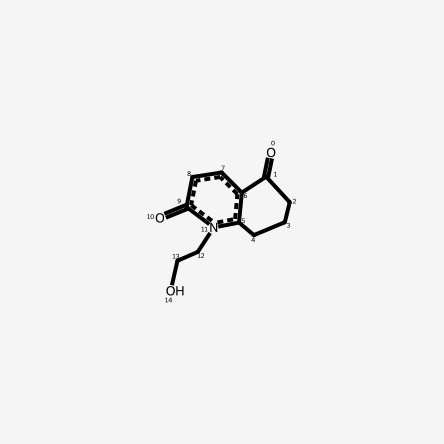 O=C1CCCc2c1ccc(=O)n2CCO